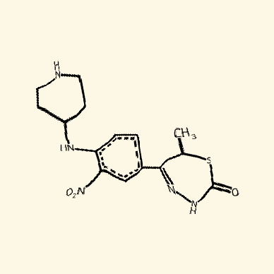 CC1SC(=O)NN=C1c1ccc(NC2CCNCC2)c([N+](=O)[O-])c1